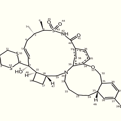 C[C@@H]1[C@@H](C)C/C=C/[C@](O)(C2SCCCS2)[C@@H]2CC[C@H]2CN2CCCC[C@H]3C=C(Cl)C=CC3COc3ccc(cc32)C(=O)NS1(=O)=O